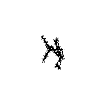 CCCCCCCOc1ccc(C(C#N)=Cc2ccc(OC(C)CC=COCC(C)CC)c(OC(C)CC=COCC(C)CC)c2)cc1OCCCCCCC